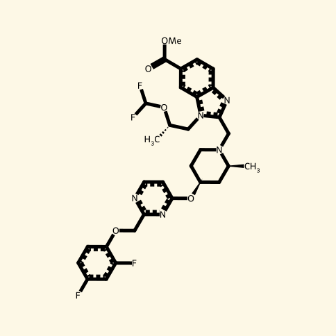 COC(=O)c1ccc2nc(CN3CC[C@H](Oc4ccnc(COc5ccc(F)cc5F)n4)C[C@@H]3C)n(C[C@H](C)OC(F)F)c2c1